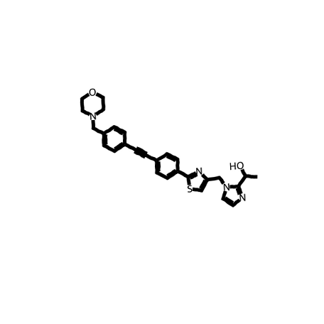 CC(O)c1nccn1Cc1csc(-c2ccc(C#Cc3ccc(CN4CCOCC4)cc3)cc2)n1